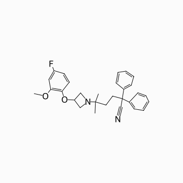 COc1cc(F)ccc1OC1CN(C(C)(C)CCC(C#N)(c2ccccc2)c2ccccc2)C1